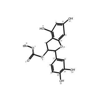 CC(C)(C)OC(=O)OC1Cc2c(O)cc(O)cc2OC1c1ccc(O)c(O)c1